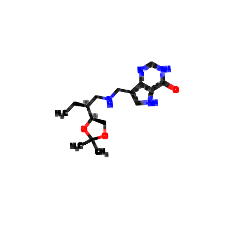 CC[C@@H](CNCc1c[nH]c2c(=O)[nH]cnc12)[C@H]1COC(C)(C)O1